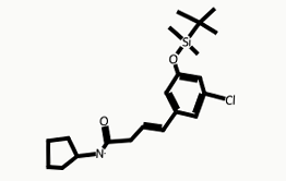 CC(C)(C)[Si](C)(C)Oc1cc(Cl)cc(C=CCC(=O)[N]C2CCCC2)c1